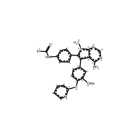 CCC(=O)Nc1ccc(-c2c(-c3ccc(Oc4ccccn4)c(OC)c3)c3c(N)ncnc3n2C)cc1